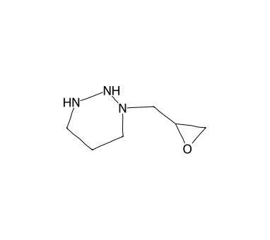 C1CNNN(CC2CO2)C1